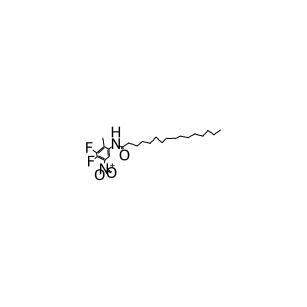 CCCCCCCCCCCCCCCC(=O)Nc1cc([N+](=O)[O-])c(F)c(F)c1C